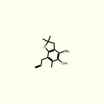 C=CCc1c(C)c(OC(C)=O)c(C(C)(C)C)c2c1OC(C)(C)C2